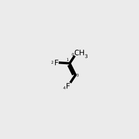 C/C(F)=C/F